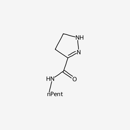 CCCCCNC(=O)C1=NNCC1